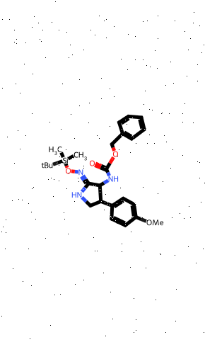 COc1ccc(C2CN/C(=N\O[Si](C)(C)C(C)(C)C)C2NC(=O)OCc2ccccc2)cc1